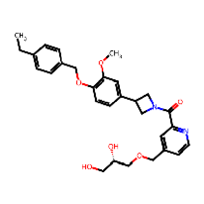 CCc1ccc(COc2ccc(C3CN(C(=O)c4cc(COC[C@@H](O)CO)ccn4)C3)cc2OC)cc1